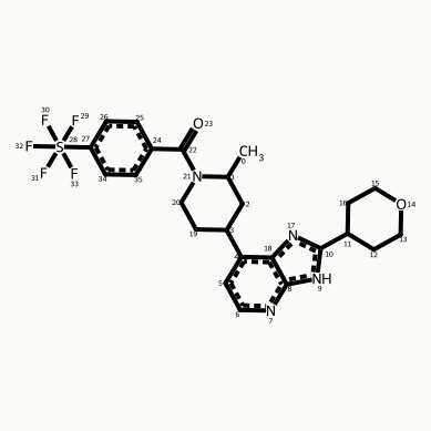 CC1CC(c2ccnc3[nH]c(C4CCOCC4)nc23)CCN1C(=O)c1ccc(S(F)(F)(F)(F)F)cc1